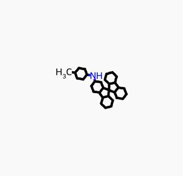 CC1CCC(NC2CCC3C4CCCCC4C4(C5CCCCC5C5CCCCC54)C3C2)CC1